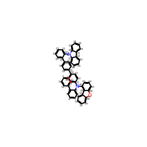 c1ccc(-c2ccccc2N(c2ccc(-c3ccc(-c4ccccc4-n4c5ccccc5c5ccccc54)cc3)cc2)c2cccc3oc4ccccc4c23)cc1